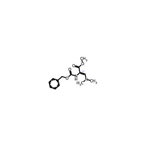 COC(=O)/C(=C/N(C)C)NC(=O)OCc1ccccc1